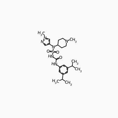 CC(C)c1cc(NC(=O)NS(=O)(=O)N(c2cnn(C)c2)C2CCN(C)CC2)cc(C(C)C)c1